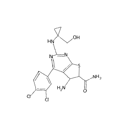 NC(=O)C1Sc2nc(NC3(CO)CC3)nc(-c3ccc(Cl)c(Cl)c3)c2C1N